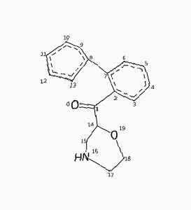 O=C(c1ccccc1-c1ccccc1)C1CNCCO1